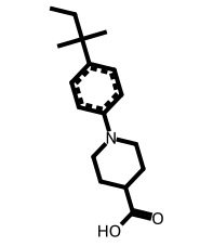 CCC(C)(C)c1ccc(N2CCC(C(=O)O)CC2)cc1